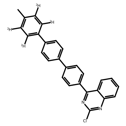 [2H]c1c([2H])c(-c2ccc(-c3ccc(-c4nc(Cl)nc5ccccc45)cc3)cc2)c([2H])c([2H])c1C